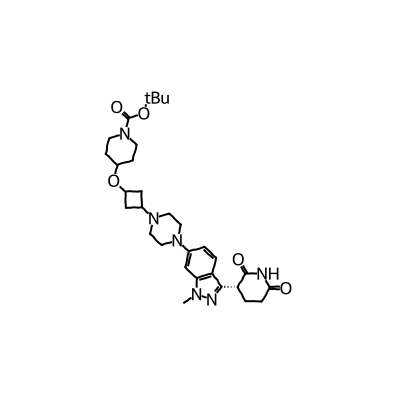 Cn1nc([C@H]2CCC(=O)NC2=O)c2ccc(N3CCN(C4CC(OC5CCN(C(=O)OC(C)(C)C)CC5)C4)CC3)cc21